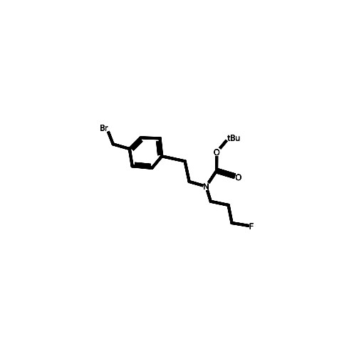 CC(C)(C)OC(=O)N(CCCF)CCc1ccc(CBr)cc1